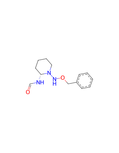 O=CN[C@@H]1CCCCN1NOCc1ccccc1